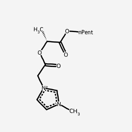 CCCCCOC(=O)[C@@H](C)OC(=O)C[n+]1ccn(C)c1